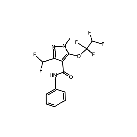 Cn1nc(C(F)F)c(C(=O)Nc2ccccc2)c1OC(F)(F)C(F)F